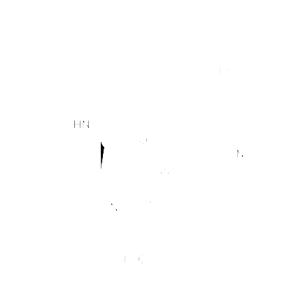 CC(Cc1ccncc1)C(=O)N1CC(F)C[C@H]1C(=O)NC(c1ccccc1)c1ccc(C(C)C)cc1